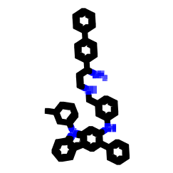 CC1C=CC=C(n2c3ccccc3c3cc(-c4ccccc4)c(Nc4cccc(CN/C=C\C(N)c5ccc(-c6ccccc6)cc5)c4)cc32)C1